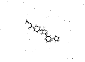 O=C(CC1CC1)N1CCC(C2NOC(c3ccnc(C4CCOC4)c3)N2)CC1